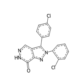 O=c1[nH]ncc2c(-c3ccc(Cl)cc3)n(-c3ccccc3Cl)nc12